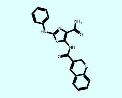 NC(=O)c1nc(Nc2ccccc2)sc1NC(=O)C1=Cc2ccccc2OC1